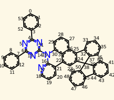 c1ccc(-c2nc(-c3ccccc3)nc(N3c4ncccc4-c4cc5c(c6cccc3c46)-c3ccccc3C53c4ccccc4-c4ccccc43)n2)cc1